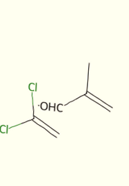 C=C(C)[C]=O.C=C(Cl)Cl